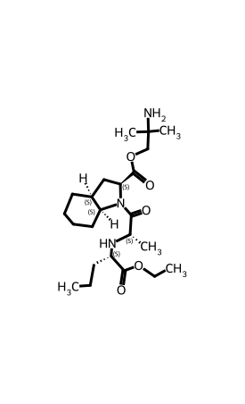 CCC[C@H](N[C@@H](C)C(=O)N1[C@H](C(=O)OCC(C)(C)N)C[C@@H]2CCCC[C@@H]21)C(=O)OCC